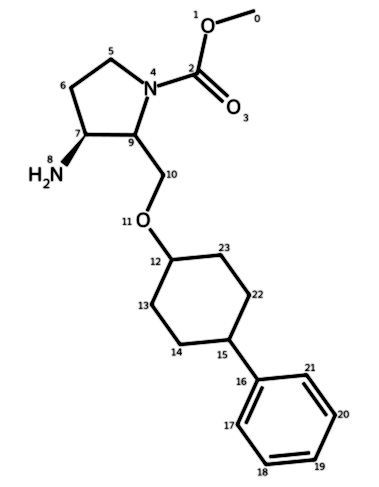 COC(=O)N1CC[C@H](N)C1COC1CCC(c2ccccc2)CC1